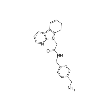 NCc1ccc(CNC(=O)Cn2c3c(c4cccnc42)C=CCC3)cc1